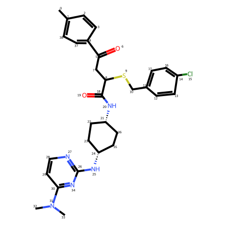 Cc1ccc(C(=O)CC(SCc2ccc(Cl)cc2)C(=O)N[C@H]2CC[C@@H](Nc3nccc(N(C)C)n3)CC2)cc1